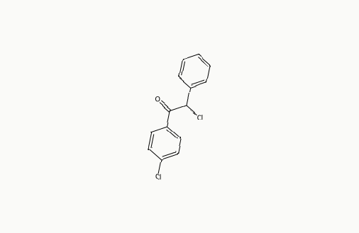 O=C(c1ccc(Cl)cc1)C(Cl)c1ccccc1